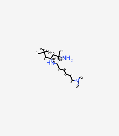 CN(C)CCCCCCNC(CC(C)(C)C)CC(C)(C)N